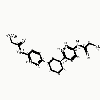 CSCC(=O)Nc1ccc([C@H]2CCC[C@H](c3ccc(NC(=O)CSC)nn3)C2)nn1